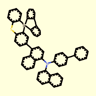 c1ccc(-c2ccc(N(c3cccc4ccccc34)c3ccc(-c4ccc5c(c4)[Si]4(c6ccccc6S5)c5ccccc5-c5ccccc54)c4ccccc34)cc2)cc1